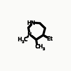 CCC1CCNCN(C)C1C